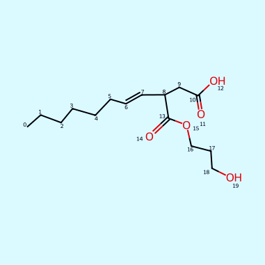 CCCCCCC=CC(CC(=O)O)C(=O)OCCCO